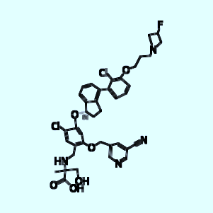 CC(CO)(NCc1cc(Cl)c(O[C@H]2CCc3c(-c4cccc(OCCCN5CC(F)C5)c4Cl)cccc32)cc1OCc1cncc(C#N)c1)C(=O)O